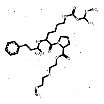 CC(OC(=O)NCCCCC(NC(CCc1ccccc1)C(=O)O)C(=O)N1CCCC1C(=O)OCCOCCO[N+](=O)[O-])O[N+](=O)[O-]